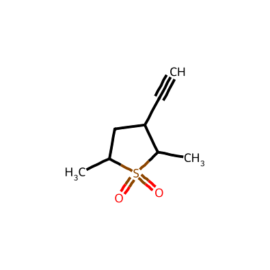 C#CC1CC(C)S(=O)(=O)C1C